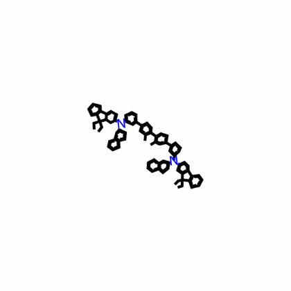 CCC1(CC)c2ccccc2-c2ccc(N(c3cccc(-c4ccc(-c5ccc(-c6cccc(N(C7=CC=C8c9ccccc9C(CC)(CC)C8C7)c7ccc8ccccc8c7)c6)cc5C)c(C)c4)c3)c3ccc4ccccc4c3)cc21